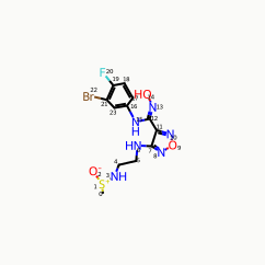 C[S+]([O-])NCCNc1nonc1/C(=N/O)Nc1ccc(F)c(Br)c1